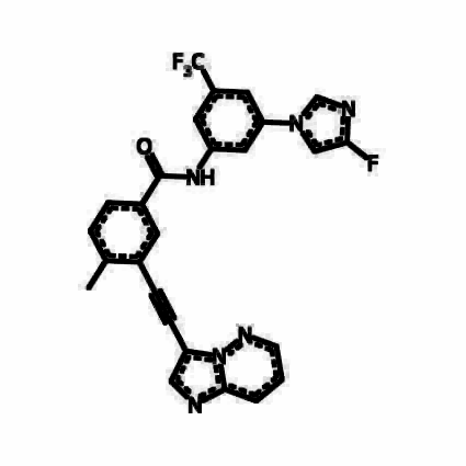 Cc1ccc(C(=O)Nc2cc(-n3cnc(F)c3)cc(C(F)(F)F)c2)cc1C#Cc1cnc2cccnn12